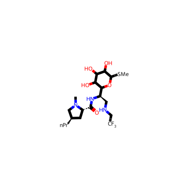 CCC[C@@H]1C[C@@H](C(=O)N[C@H](CNCC(F)(F)F)C2OC(SC)C(O)C(O)C2O)N(C)C1